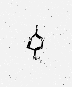 Nc1cnc(F)nc1